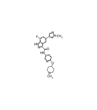 CN1CCC(Oc2ccc(NC(=O)c3n[nH]c4c(F)cc(-c5cnn(C)c5)cc34)cn2)CC1